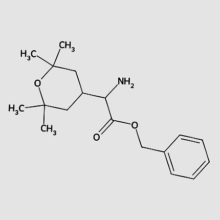 CC1(C)CC(C(N)C(=O)OCc2ccccc2)CC(C)(C)O1